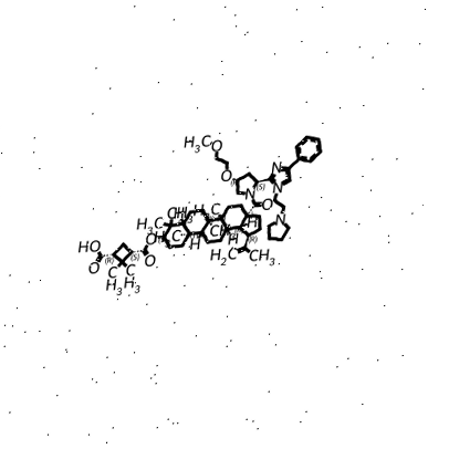 C=C(C)[C@@H]1CC[C@]2(C(=O)N3C[C@H](OCCOC)C[C@H]3c3nc(-c4ccccc4)cn3CCN3CCCC3)CC[C@]3(C)[C@H](CC[C@@H]4[C@@]5(C)CC[C@H](OC(=O)[C@H]6C[C@@H](C(=O)O)C6(C)C)C(C)(C)[C@@H]5CC[C@]43C)[C@@H]12